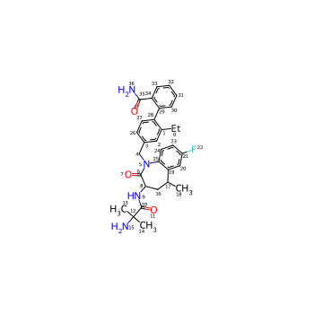 CCc1cc(CN2C(=O)C(NC(=O)C(C)(C)N)CC(C)c3cc(F)ccc32)ccc1-c1ccccc1C(N)=O